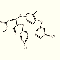 CCn1c(=O)cc(Nc2ccc(Oc3cccc(C(=O)O)c3)c(C)n2)n(Cc2ccc(Cl)cc2)c1=O